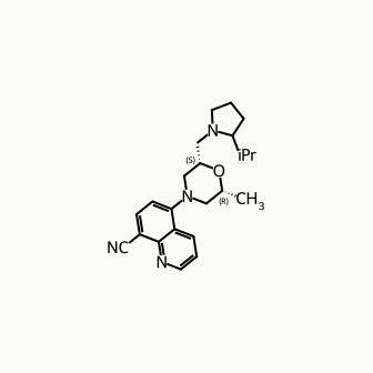 CC(C)C1CCCN1C[C@H]1CN(c2ccc(C#N)c3ncccc23)C[C@@H](C)O1